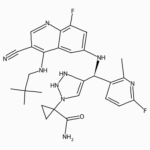 Cc1nc(F)ccc1[C@H](Nc1cc(F)c2ncc(C#N)c(NCC(C)(C)C)c2c1)C1=CN(C2(C(N)=O)CC2)NN1